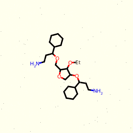 CCOC1C(COC(CCN)C2CCCCC2)OCC1OC(CCN)C1CCCCC1